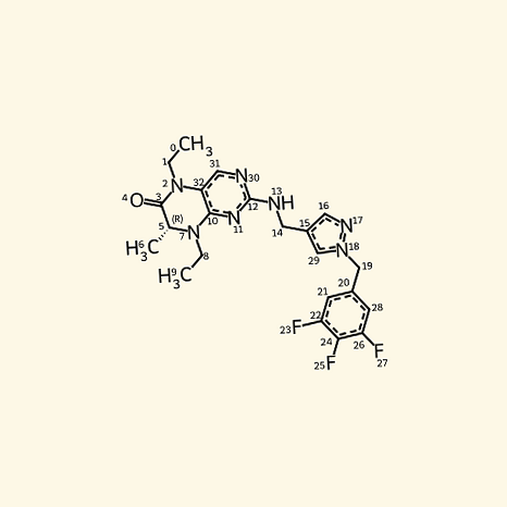 CCN1C(=O)[C@@H](C)N(CC)c2nc(NCc3cnn(Cc4cc(F)c(F)c(F)c4)c3)ncc21